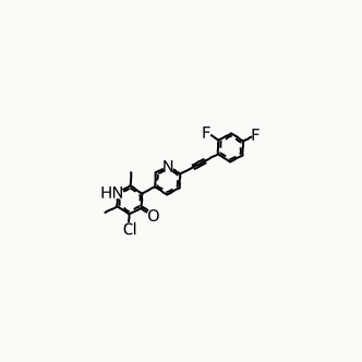 Cc1[nH]c(C)c(-c2ccc(C#Cc3ccc(F)cc3F)nc2)c(=O)c1Cl